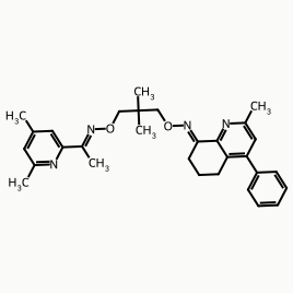 C/C(=N\OCC(C)(C)CO/N=C1\CCCc2c(-c3ccccc3)cc(C)nc21)c1cc(C)cc(C)n1